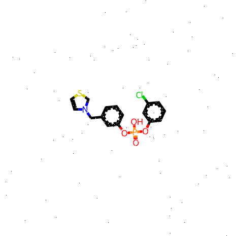 O=P(O)(Oc1cccc(Cl)c1)Oc1cccc(CN2C=CSC2)c1